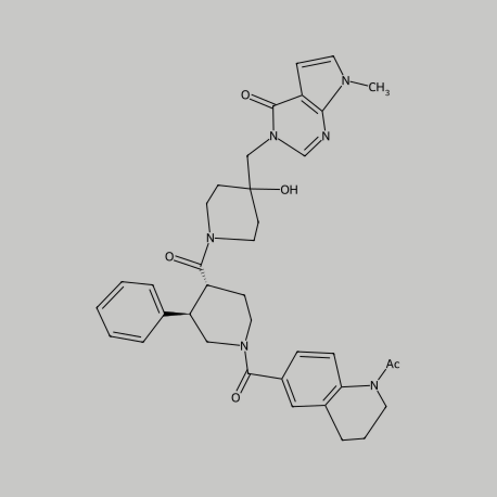 CC(=O)N1CCCc2cc(C(=O)N3CC[C@@H](C(=O)N4CCC(O)(Cn5cnc6c(ccn6C)c5=O)CC4)[C@H](c4ccccc4)C3)ccc21